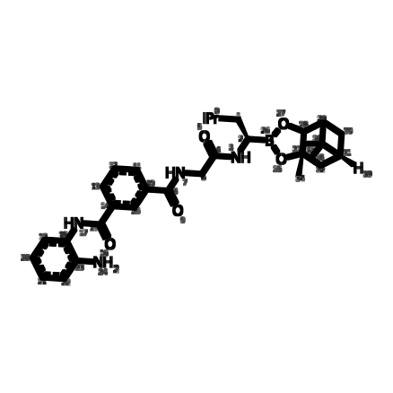 CC(C)C[C@H](NC(=O)CNC(=O)c1cccc(C(=O)Nc2ccccc2N)c1)B1OC2C3C[C@H](C[C@]2(C)O1)C3(C)C